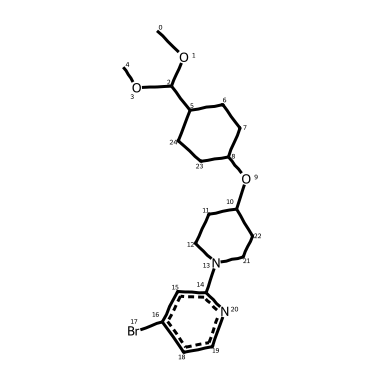 COC(OC)C1CCC(OC2CCN(c3cc(Br)ccn3)CC2)CC1